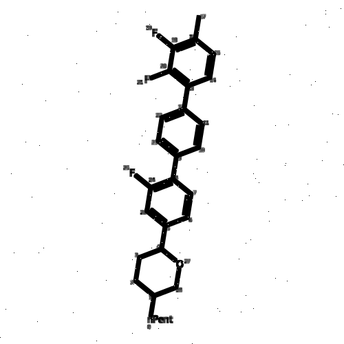 CCCCCC1CCC(c2ccc(-c3ccc(-c4ccc(C)c(F)c4F)cc3)c(F)c2)OC1